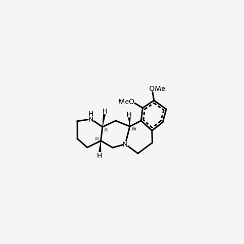 COc1ccc2c(c1OC)[C@H]1C[C@H]3NCCC[C@H]3CN1CC2